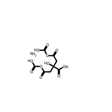 N.O=C(O)OC(=O)CC(O)(CC(=O)OC(=O)O)C(=O)O